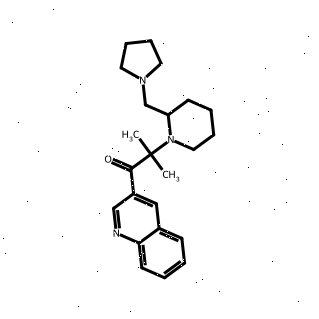 CC(C)(C(=O)c1cnc2ccccc2c1)N1CCCCC1CN1CCCC1